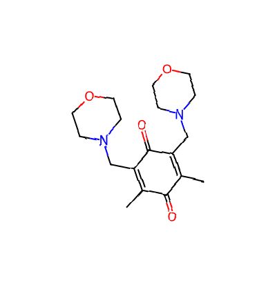 CC1=C(CN2CCOCC2)C(=O)C(CN2CCOCC2)=C(C)C1=O